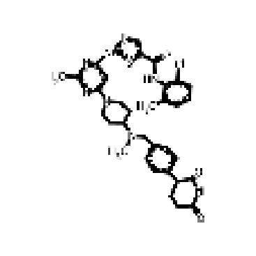 Cc1nc(Nc2ncc(C(=O)Nc3c(C)cccc3Cl)s2)cc(N2CCC(N(C)Cc3ccc(C4CCC(=O)NC4=O)cc3)CC2)n1